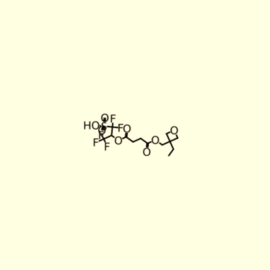 CCC1(COC(=O)CCC(=O)OC(C(F)(F)F)C(F)(F)S(=O)(=O)O)COC1